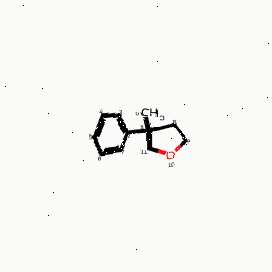 CC1(c2ccccc2)CCOC1